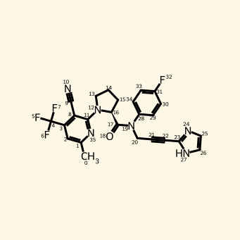 Cc1cc(C(F)(F)F)c(C#N)c(N2CCC[C@H]2C(=O)N(CC#Cc2ncc[nH]2)c2ccc(F)cc2)n1